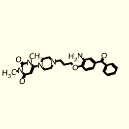 Cn1c(N2CCN(CCCOc3ccc(C(=O)c4ccccc4)cc3N)CC2)cc(=O)n(C)c1=O